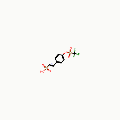 O=S(=O)(O)/C=C/c1ccc(OS(=O)(=O)C(F)(F)F)cc1